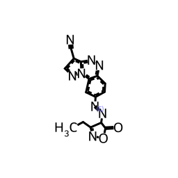 CCC1=NOC(=O)C1/N=N/c1ccc2nnc3c(C#N)cnn3c2c1